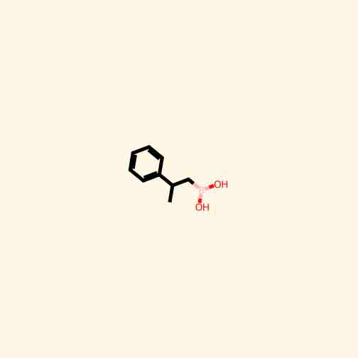 CC(CB(O)O)c1ccccc1